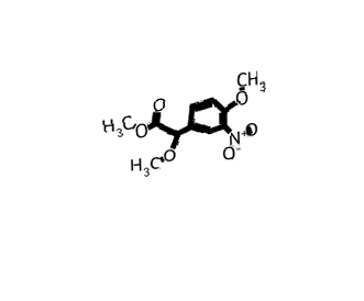 COC(=O)C(OC)c1ccc(OC)c([N+](=O)[O-])c1